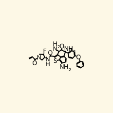 C=CC(=O)N1C[C@H](NC(=O)c2sc3c(N)ccc4c3c2C(N)C(=O)C4(N)c2ccc(Oc3ccccc3)cc2C)[C@@H](F)C1